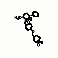 C[C@H]1CC[C@H](c2ccccc2)S(=O)(=O)N1Cc1ccc(OCC2CCS(=O)(=O)CC2)cc1